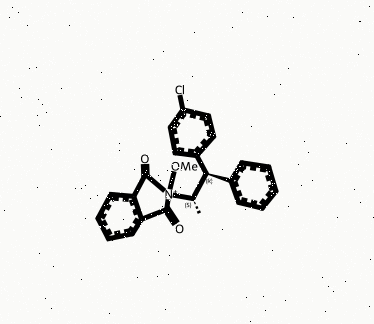 CO[N+]1([C@@H](C)[C@H](c2ccccc2)c2ccc(Cl)cc2)C(=O)c2ccccc2C1=O